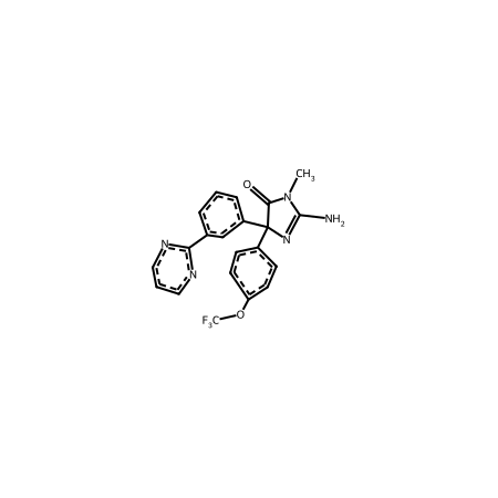 CN1C(=O)C(c2ccc(OC(F)(F)F)cc2)(c2cccc(-c3ncccn3)c2)N=C1N